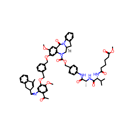 COC(=O)CCCCC(=O)N[C@@H](C(=O)N[C@H](C)C(=O)Nc1ccc(COC(=O)N2C[C@@H]3Cc4ccccc4N3C(=O)c3cc(OC)c(OCc4cccc(COc5cc(/N=C\C6C=C(C)c7ccccc7C6)c(C(C)=O)cc5OC)c4)cc32)cc1)C(C)C